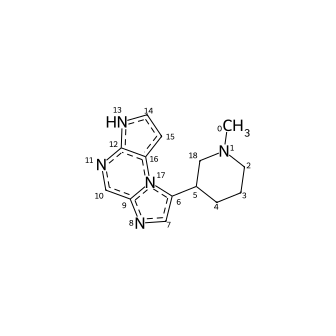 CN1CCCC(c2cnc3cnc4[nH]ccc4n23)C1